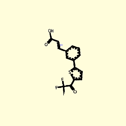 O=C(O)/C=C/c1cccc(-c2ccc(C(=O)C(F)(F)F)s2)c1